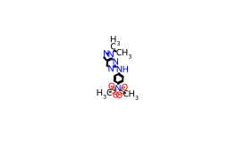 CC(C)n1ncc2cnc(Nc3ccc(N(S(C)(=O)=O)S(C)(=O)=O)cc3)nc21